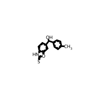 Cc1ccc(C(O)c2ccc3[nH]c(=S)oc3c2)cc1